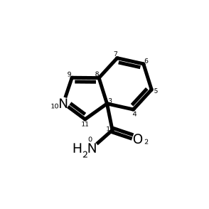 NC(=O)C12C=CC=CC1=CN=C2